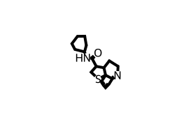 O=C(NC1CCCCC1)C1CSC23C=CC=CC2=NCCC13